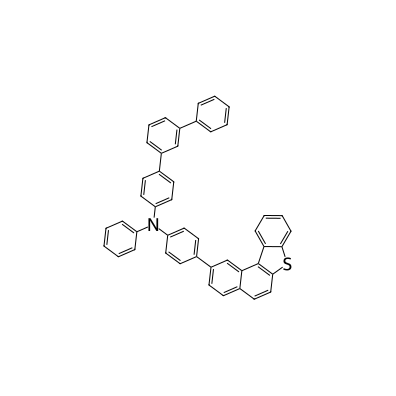 c1ccc(-c2cccc(-c3ccc(N(c4ccccc4)c4ccc(-c5ccc6ccc7sc8ccccc8c7c6c5)cc4)cc3)c2)cc1